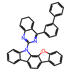 C1=c2nc(-n3c4ccccc4c4ccc5c6ccccc6oc5c43)nc(-c3cccc(-c4ccccc4)c3)c2=CCC1